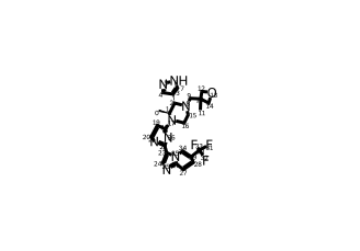 C[C@H]1[C@H](c2cn[nH]c2)N(CC2(C)COC2)CCN1c1ccnc(-c2cnc3ccc(C(F)(F)F)cn23)n1